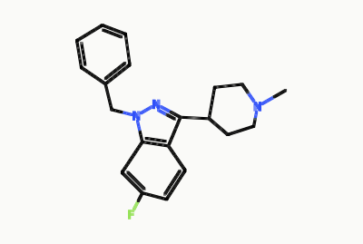 CN1CCC(c2nn(Cc3ccccc3)c3cc(F)ccc23)CC1